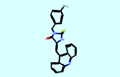 O=C1C(=Cc2c3ccccc3nc3ccccc23)NC(=S)N1Cc1ccc([N+](=O)[O-])cc1